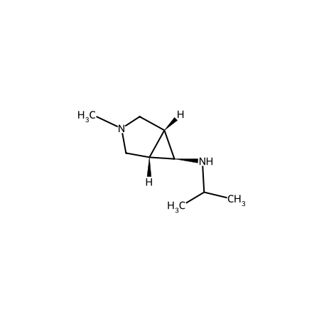 CC(C)N[C@H]1[C@@H]2CN(C)C[C@@H]21